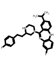 CC(C)c1ccc2c(c1)C(N1CCNC(CCc3ccc(F)cc3)C1)=Nc1cc(F)ccc1N2